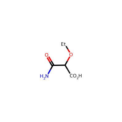 CCOC(C(N)=O)C(=O)O